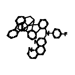 Fc1ccc(N(c2cnc3c(ccc4cccnc43)c2)c2cccc3c2-c2cccc(-n4c5ccccc5c5ccccc54)c2C32C3CCC4CCC3CC42)cc1